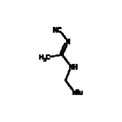 CCCCCN/C(C)=N/C#N